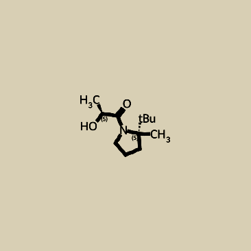 C[C@H](O)C(=O)N1CCC[C@@]1(C)C(C)(C)C